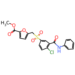 COC(=O)c1ccc(CS(=O)(=O)c2ccc(Cl)c(C(=O)Nc3ccccc3)c2)o1